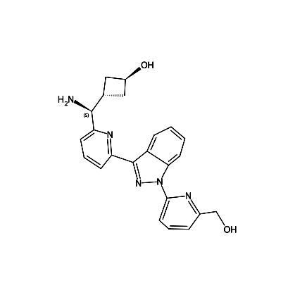 N[C@H](c1cccc(-c2nn(-c3cccc(CO)n3)c3ccccc23)n1)[C@H]1C[C@H](O)C1